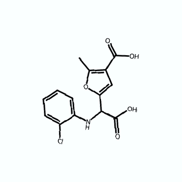 Cc1oc(C(Nc2ccccc2Cl)C(=O)O)cc1C(=O)O